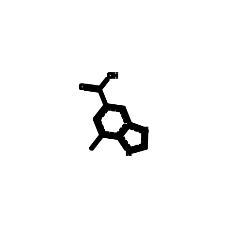 Cc1cc(C(=O)O)cc2scnc12